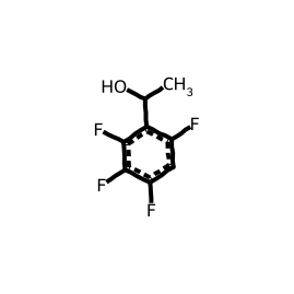 CC(O)c1c(F)cc(F)c(F)c1F